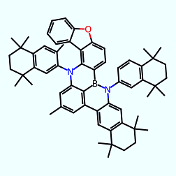 Cc1cc2c3c(c1)N(c1cc4c(cc1C)C(C)(C)CCC4(C)C)c1c(ccc4oc5ccccc5c14)B3N(c1ccc3c(c1)C(C)(C)CCC3(C)C)c1cc3c(cc1-2)C(C)(C)CCC3(C)C